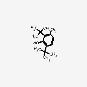 Cc1ccc(C(C)(C)C)c(O)c1C(C)(C)C